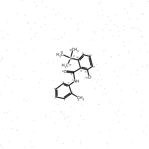 Cc1ccccc1NC(=O)c1c(Cl)cccc1[Si](C)(C)C